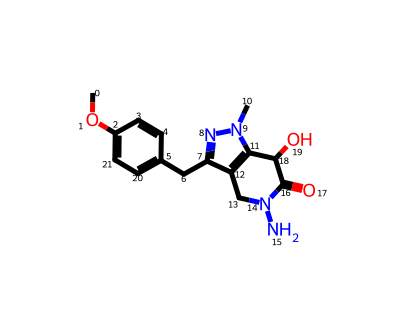 COc1ccc(Cc2nn(C)c3c2CN(N)C(=O)C3O)cc1